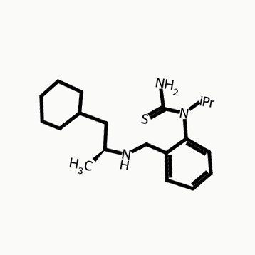 CC(C)N(C(N)=S)c1ccccc1CN[C@@H](C)CC1CCCCC1